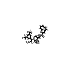 Cl.Cl.NC(=O)C(c1cc(C(F)(F)F)cc(C(F)(F)F)c1)N1CCC(CNC(=O)C2=Cc3cnc4cccc(n34)S2)CC1